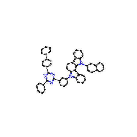 c1ccc(-c2ccc(-c3nc(-c4ccccc4)nc(-c4cccc(-n5c6ccccc6c6c5ccc5c7ccccc7n(-c7ccc8ccccc8c7)c56)c4)n3)cc2)cc1